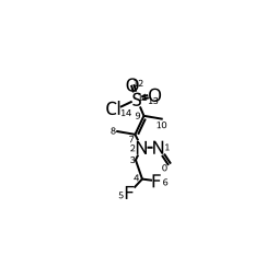 C=NN(CC(F)F)/C(C)=C(\C)S(=O)(=O)Cl